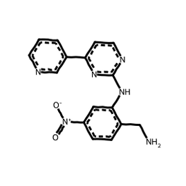 NCc1ccc([N+](=O)[O-])cc1Nc1nccc(-c2cccnc2)n1